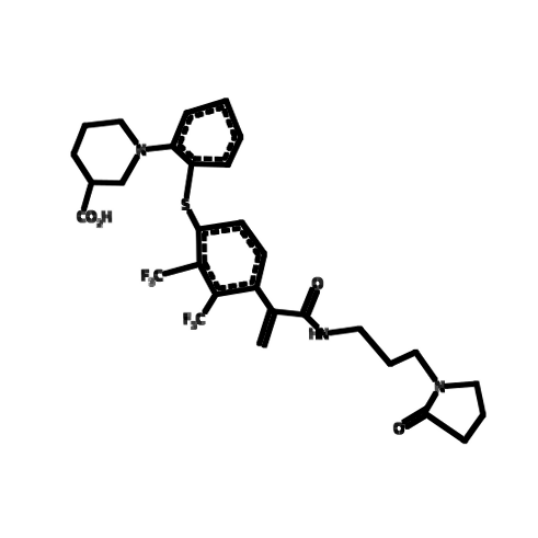 C=C(C(=O)NCCCN1CCCC1=O)c1ccc(Sc2ccccc2N2CCCC(C(=O)O)C2)c(C(F)(F)F)c1C(F)(F)F